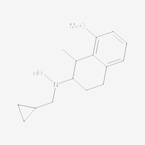 CCCN(CC1CC1)C1CCc2cccc(OC)c2C1C